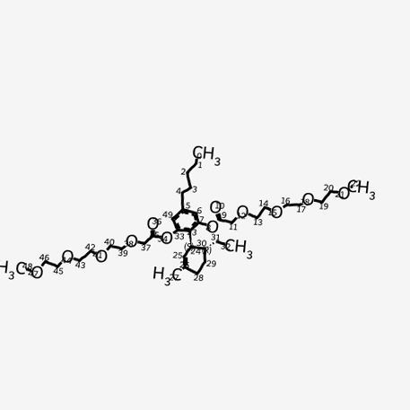 CCCCCc1cc(OC(=O)COCCOCCOCCOC)c([C@@H]2C=C(C)CC[C@H]2CC)c(OC(=O)COCCOCCOCCOC)c1